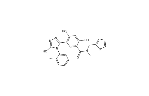 Cc1ccccc1-n1c(O)nnc1-c1cc(C(=O)N(C)Cc2ccco2)c(O)cc1O